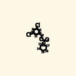 O=C(OCc1cc(Cl)cc(Cl)c1)N1CCCCC1